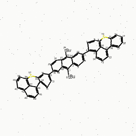 CC(C)(C)c1c2ccc(-c3ccc4c5c(cccc35)-c3ccccc3S4)cc2c(C(C)(C)C)c2ccc(-c3ccc4c(c3)Sc3cccc5cccc-4c35)cc12